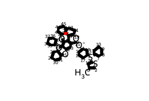 Cc1csc([S+](c2ccccc2)c2ccccc2)c1.O=C([O-])c1cc(Oc2ccccc2)c(Oc2ccccc2)c(Oc2ccccc2)c1-c1ccccc1